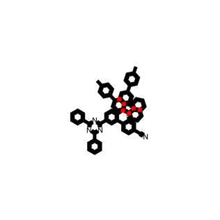 Cc1ccc(-c2ccc3c(c2)c2ccccc2n3-c2ccc(-c3nc(-c4ccccc4)nc(-c4ccccc4)n3)cc2-c2ccc(C#N)cc2-n2c3ccccc3c3cc(-c4ccc(C)cc4)ccc32)cc1